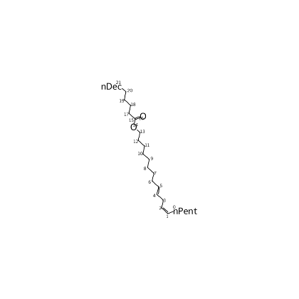 CCCCC/C=C\C/C=C/CCCCCCCCOC(=O)CCCCCCCCCCCCCC